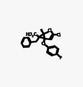 CC1(C)C(C=C(Cl)Cl)(Oc2ccc(F)cc2)C1(Cc1ccccc1)C(=O)O